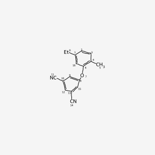 CCc1ccc(C)c(Oc2cc(C#N)cc(C#N)c2)c1